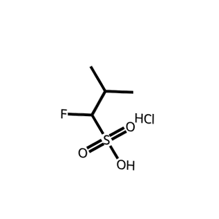 CC(C)C(F)S(=O)(=O)O.Cl